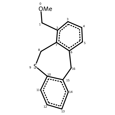 COCc1cccc2c1CSc1ccccc1C2